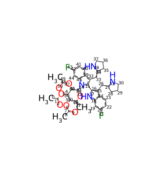 CC(=O)O[C@@H]1[C@H](OC(C)=O)[C@H](C)O[C@H](n2c(-c3[nH]c4cc(F)ccc4c3CC3CCCN3)c(C[C@@H]3CCCN3)c3ccc(F)cc32)[C@H]1OC(C)=O